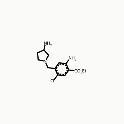 CCOC(=O)c1cc(Cl)c(CN2CCC(N)C2)cc1N